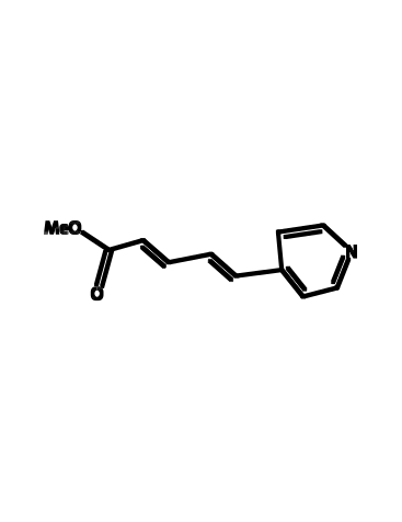 COC(=O)C=CC=Cc1ccncc1